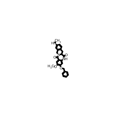 CNc1ccc2c(c1)CN1C(=O)c3cc(OC)c(OCc4ccccc4)cc3NC(=O)C1C2